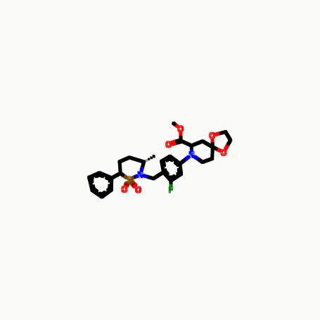 COC(=O)C1CC2(CCN1c1ccc(CN3[C@@H](C)CCC(c4ccccc4)S3(=O)=O)c(F)c1)OCCO2